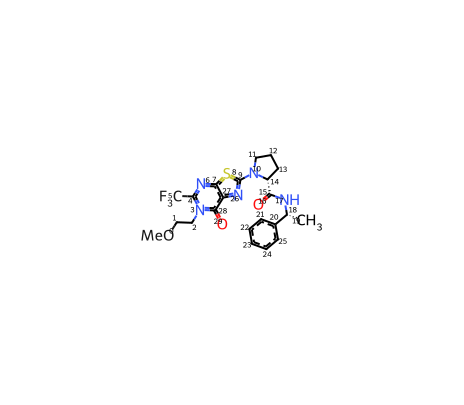 COCCn1c(C(F)(F)F)nc2sc(N3CCC[C@@H]3C(=O)N[C@H](C)c3ccccc3)nc2c1=O